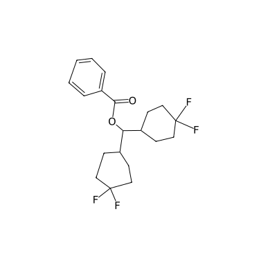 O=C(OC(C1CCC(F)(F)CC1)C1CCC(F)(F)CC1)c1ccccc1